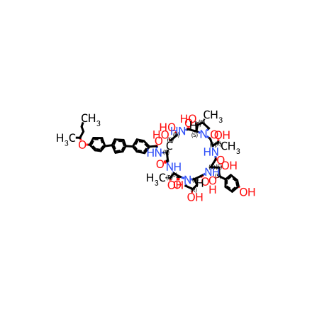 CCCC(C)Oc1ccc(-c2ccc(-c3ccc(C(=O)N[C@H]4C[C@@H](O)[C@@H](O)NC(=O)[C@@H]5[C@@H](O)[C@@H](C)CN5C(=O)[C@H]([C@@H](C)O)NC(=O)[C@H]([C@H](O)[C@@H](O)c5ccc(O)cc5)NC(=O)[C@@H]5C[C@@H](O)CN5C(=O)[C@H]([C@@H](C)O)NC4=O)cc3)cc2)cc1